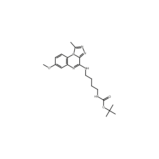 COc1ccc2c(c1)nc(NCCCCNC(=O)OC(C)(C)C)c1nnc(C)n12